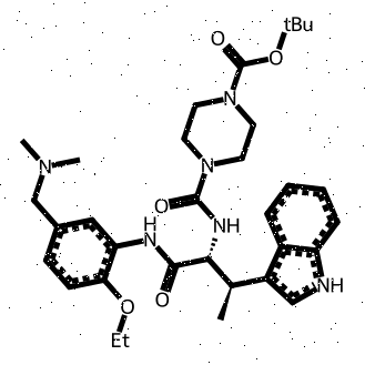 CCOc1ccc(CN(C)C)cc1NC(=O)[C@H](NC(=O)N1CCN(C(=O)OC(C)(C)C)CC1)[C@H](C)c1c[nH]c2ccccc12